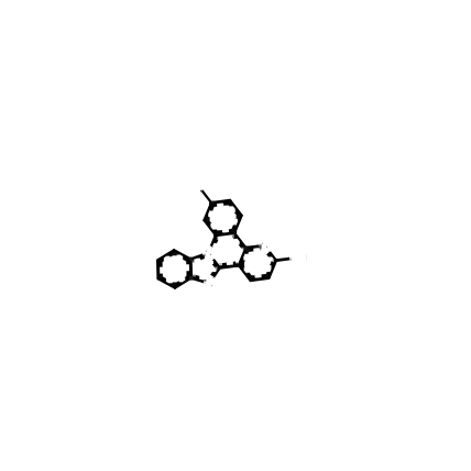 Cc1ccc2c(n1)c1ccc(Cl)cc1n1c3ccccc3nc21